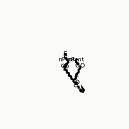 C=C=C=C=CC(CCCCC)CCOC(=O)CCCCCCCC(CCCCCCCC(=O)OCCC(C)CCCCC)CC(=O)OCCN1CCCC1